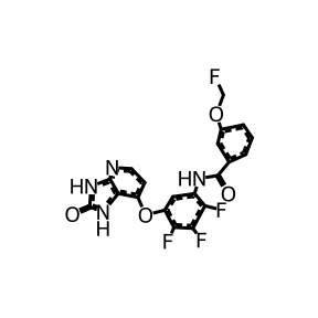 O=C(Nc1cc(Oc2ccnc3[nH]c(=O)[nH]c23)c(F)c(F)c1F)c1cccc(OCF)c1